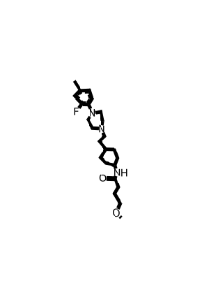 COCCCC(=O)NC1CCC(CCN2CCN(c3ccc(C)cc3F)CC2)CC1